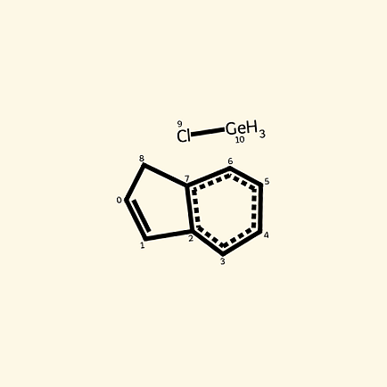 C1=Cc2ccccc2C1.[Cl][GeH3]